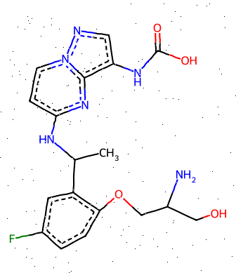 CC(Nc1ccn2ncc(NC(=O)O)c2n1)c1cc(F)ccc1OCC(N)CO